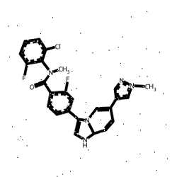 CN(C(=O)c1ccc(C2=CNC3C=CC(c4cnn(C)c4)=CN23)cc1F)c1c(F)cccc1Cl